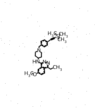 CCc1nnc(NC2CCN(Cc3ccc(C#C[Si](C)(C)C)cc3)CC2)c2cc(OC)ccc12